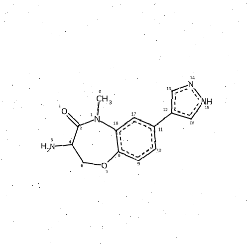 CN1C(=O)C(N)COc2ccc(-c3cn[nH]c3)cc21